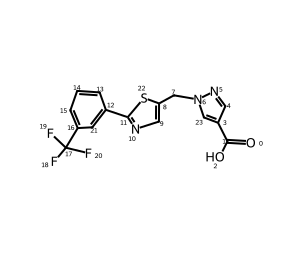 O=C(O)c1cnn(Cc2cnc(-c3cccc(C(F)(F)F)c3)s2)c1